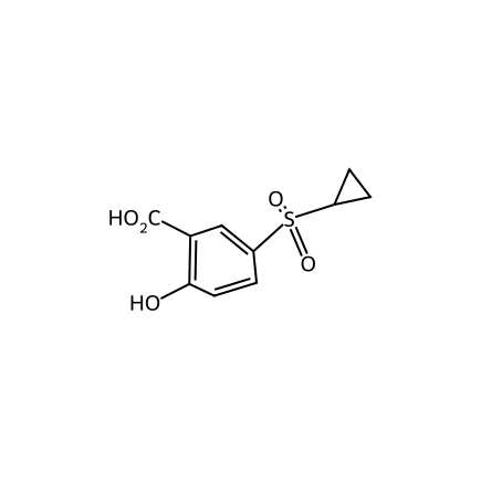 O=C(O)c1cc(S(=O)(=O)C2CC2)ccc1O